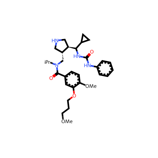 COCCCOc1cc(C(=O)N(C[C@@H]2CNC[C@H]2C(NC(=O)Nc2ccccc2)C2CC2)C(C)C)ccc1OC